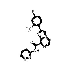 O=C(Nc1cccnn1)c1nccn2cc(-c3ccc(F)cc3C(F)(F)F)nc12